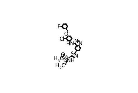 C=CCN[C@H](CS(C)(=O)=O)c1cnc(-c2ccc3ncnc(Nc4ccc(OCc5cccc(F)c5)c(Cl)c4)c3c2)s1